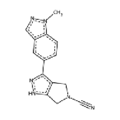 Cn1ncc2cc(-c3n[nH]c4c3CN(C#N)C4)ccc21